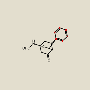 O=CNC12CC(=O)C(C(c3ccccc3)C1)C(c1ccccc1)C2